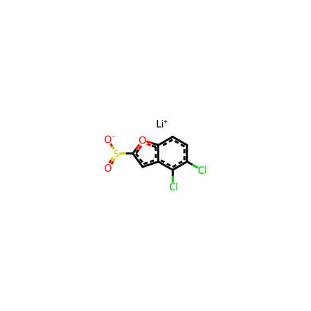 O=S([O-])c1cc2c(Cl)c(Cl)ccc2o1.[Li+]